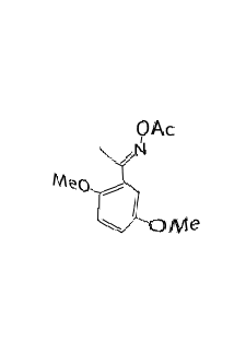 COc1ccc(OC)c(/C(C)=N/OC(C)=O)c1